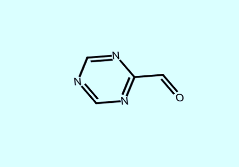 O=Cc1ncncn1